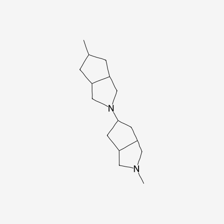 CC1CC2CN(C3CC4CN(C)CC4C3)CC2C1